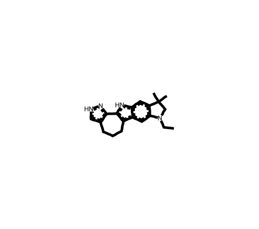 CCN1CC(C)(C)c2cc3[nH]c4c(c3cc21)CCCc1c[nH]nc1-4